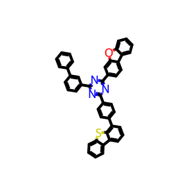 c1ccc(-c2cccc(-c3nc(-c4ccc(-c5cccc6c5sc5ccccc56)cc4)nc(-c4ccc5c(c4)oc4ccccc45)n3)c2)cc1